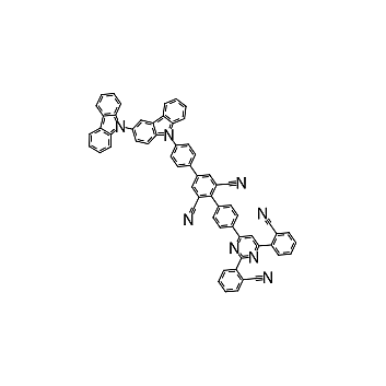 N#Cc1ccccc1-c1cc(-c2ccc(-c3c(C#N)cc(-c4ccc(-n5c6ccccc6c6cc(-n7c8ccccc8c8ccccc87)ccc65)cc4)cc3C#N)cc2)nc(-c2ccccc2C#N)n1